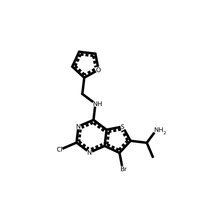 CC(N)c1sc2c(NCc3ccco3)nc(Cl)nc2c1Br